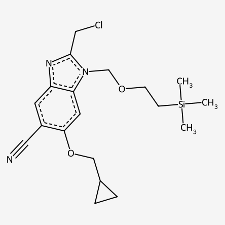 C[Si](C)(C)CCOCn1c(CCl)nc2cc(C#N)c(OCC3CC3)cc21